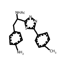 CC(=O)NC(Cc1ccc(N)cc1)c1nnc(-c2ccc(C)cc2)s1